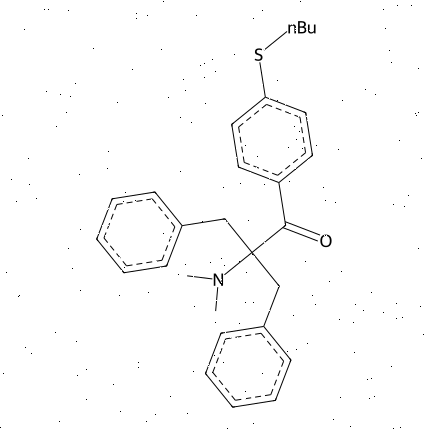 CCCCSc1ccc(C(=O)C(Cc2ccccc2)(Cc2ccccc2)N(C)C)cc1